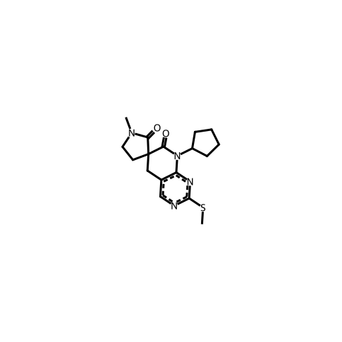 CSc1ncc2c(n1)N(C1CCCC1)C(=O)C1(CCN(C)C1=O)C2